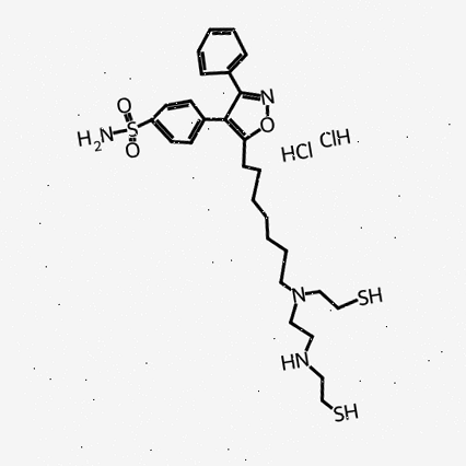 Cl.Cl.NS(=O)(=O)c1ccc(-c2c(-c3ccccc3)noc2CCCCCCCN(CCS)CCNCCS)cc1